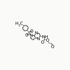 Cc1ccc(S(=O)(=O)n2ccc3nc(NC(=O)OCC=O)cnc32)cc1